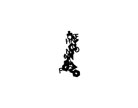 Cn1c(-c2cc3cc(F)cc(OCc4ccccc4)c3n2CC2CC2)nc2cc3c(nc21)CCN(C[C@@H](CF)NC(=O)OC(C)(C)C)C3=O